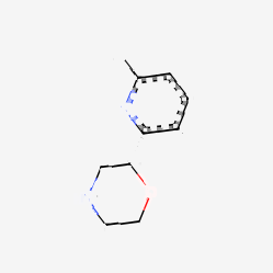 FC(F)(F)c1cccc([C@H]2CNCCO2)n1